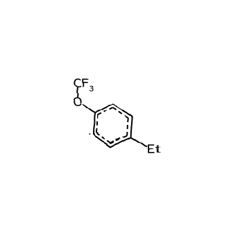 CCc1c[c]c(OC(F)(F)F)cc1